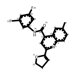 Cc1ccc2nc(C3=CCCO3)cc(C(=O)Nc3cc(F)cc(F)c3)c2c1